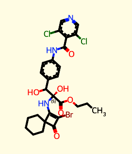 CCCOC(=O)[C@](O)(NC1=C(Br)C(=O)C12CCCCC2)C(O)c1ccc(NC(=O)c2c(Cl)cncc2Cl)cc1